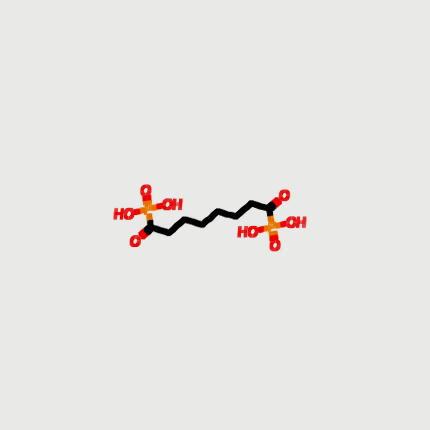 O=C(CCCCCCC(=O)P(=O)(O)O)P(=O)(O)O